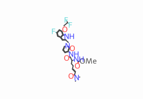 COC(=O)NC(CC/C=C/C(=O)N(C)C)C(=O)Nc1cccn(Cc2cc3cc(F)cc(OCC(F)F)c3[nH]2)c1=O